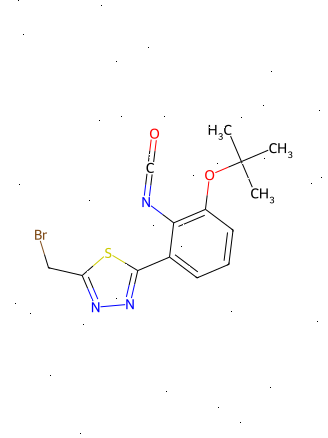 CC(C)(C)Oc1cccc(-c2nnc(CBr)s2)c1N=C=O